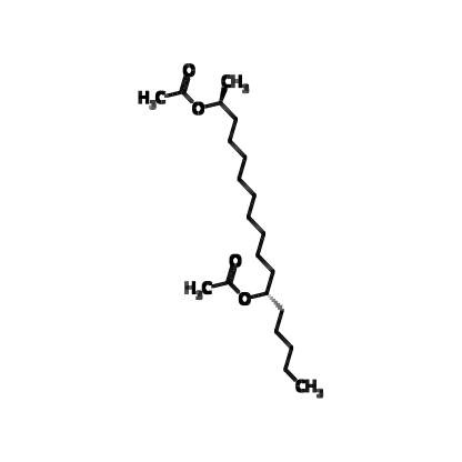 CCCCC[C@@H](CCCCCCCCC[C@H](C)OC(C)=O)OC(C)=O